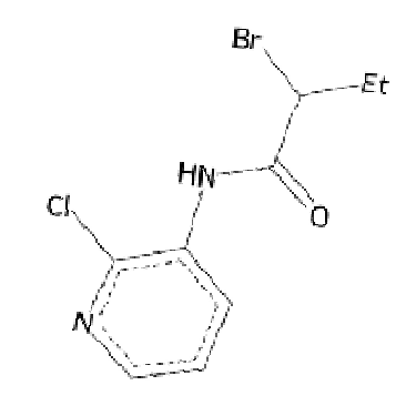 CCC(Br)C(=O)Nc1cccnc1Cl